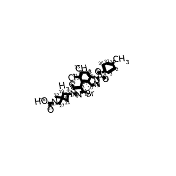 Cc1ccc(S(=O)(=O)n2ncc3c(-c4c(Br)nn(C5CC6(C5)CN(C(=O)O)C6)c4C)c(Cl)c(C)cc32)cc1